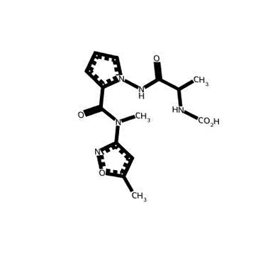 Cc1cc(N(C)C(=O)c2cccn2NC(=O)C(C)NC(=O)O)no1